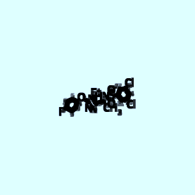 CCn1c(Oc2ccc(F)cc2)nnc1[C@@H](C)NS(=O)(=O)c1cc(Cl)cc(Cl)c1